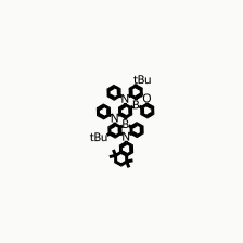 CC(C)(C)c1cc2c3c(c1)N(c1ccccc1)c1cc4c(cc1B3c1ccccc1O2)B1c2ccccc2N(c2ccc3c(c2)C(C)(C)CCC3(C)C)c2cc(C(C)(C)C)cc(c21)N4c1ccccc1